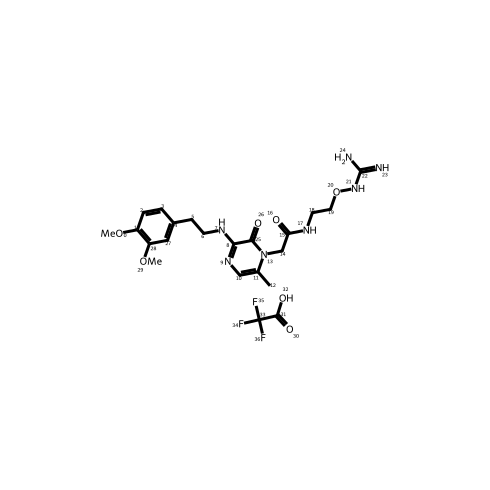 COc1ccc(CCNc2ncc(C)n(CC(=O)NCCONC(=N)N)c2=O)cc1OC.O=C(O)C(F)(F)F